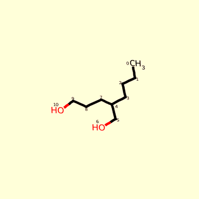 CCCC[C](CO)CCCO